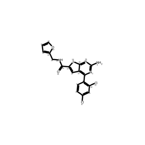 Nc1nc(-c2ccc(Cl)cc2Cl)c2cc(C(=O)NCc3ccco3)sc2n1